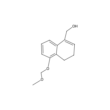 COCOc1cccc2c1CCC=C2CO